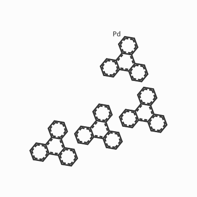 [Pd].c1ccc2c(c1)c1ccccc1c1ccccc21.c1ccc2c(c1)c1ccccc1c1ccccc21.c1ccc2c(c1)c1ccccc1c1ccccc21.c1ccc2c(c1)c1ccccc1c1ccccc21